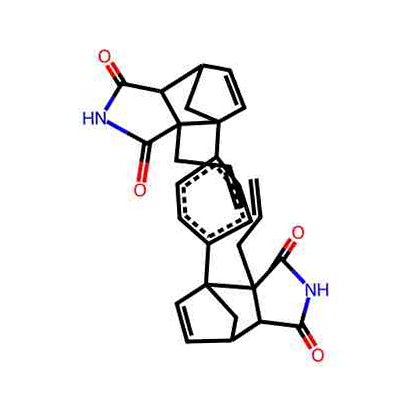 C=CCC12C(=O)NC(=O)C1C1C=CC2(c2ccc(C34C=CC(C3)C3C(=O)NC(=O)C34CC=C)cc2)C1